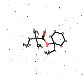 CCC1(OC(=O)C(C)(C)CC)CCCCC1